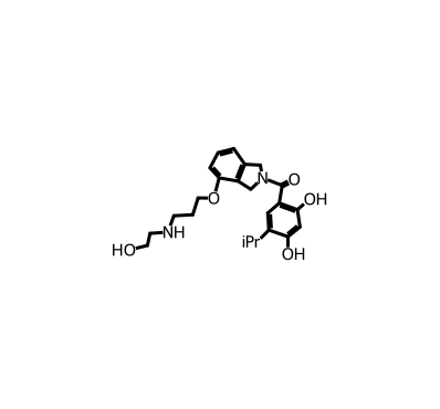 CC(C)c1cc(C(=O)N2Cc3cccc(OCCCNCCO)c3C2)c(O)cc1O